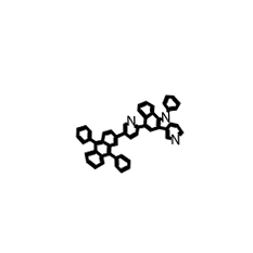 c1ccc(-c2c3ccccc3c(-c3ccccc3)c3cc(-c4ccc(-c5cc6c7cnccc7n(-c7ccccc7)c6c6ccccc56)nc4)ccc23)cc1